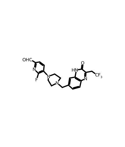 O=Cc1ccc(N2CCN(Cc3ccc4nc(CC(F)(F)F)c(=O)[nH]c4c3)CC2)c(F)n1